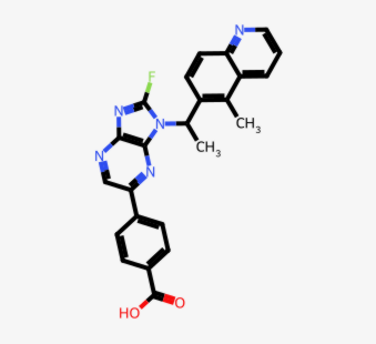 Cc1c(C(C)n2c(F)nc3ncc(-c4ccc(C(=O)O)cc4)nc32)ccc2ncccc12